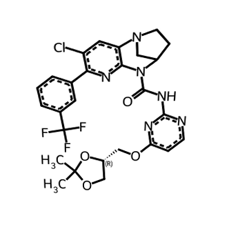 CC1(C)OC[C@@H](COc2ccnc(NC(=O)N3c4nc(-c5cccc(C(F)(F)F)c5)c(Cl)cc4N4CCC3C4)n2)O1